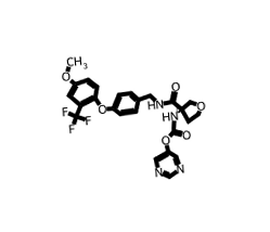 COc1ccc(Oc2ccc(CNC(=O)[C@]3(NC(=O)Oc4cncnc4)CCOC3)cc2)c(C(F)(F)F)c1